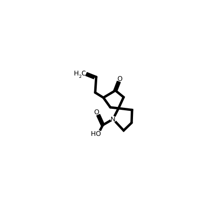 C=CCC1CC2(CCCN2C(=O)O)CC1=O